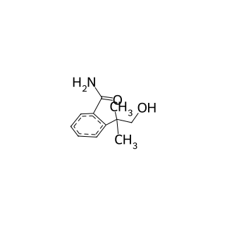 CC(C)(CO)c1ccccc1C(N)=O